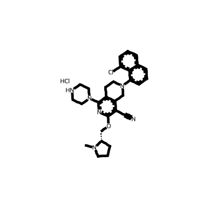 CN1CCC[C@H]1COc1nc(N2CCNCC2)c2c(c1C#N)CN(c1cccc3cccc(Cl)c13)CC2.Cl